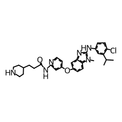 CC(C)c1cc(Nc2nc3cc(Oc4ccnc(NC(=O)CCC5CCNCC5)c4)ccc3n2C)ccc1Cl